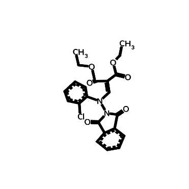 CCOC(=O)C(=CN(c1ccccc1Cl)N1C(=O)c2ccccc2C1=O)C(=O)OCC